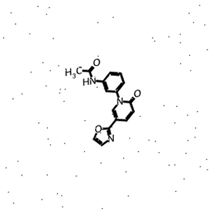 CC(=O)Nc1cccc(-n2cc(-c3ncco3)ccc2=O)c1